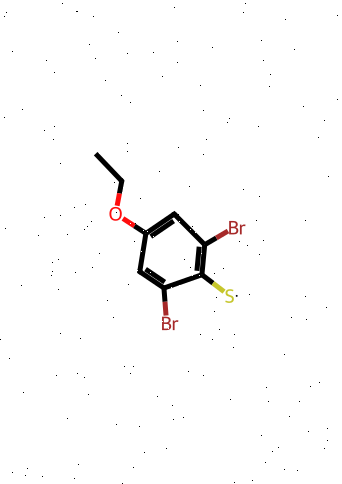 CCOc1cc(Br)c([S])c(Br)c1